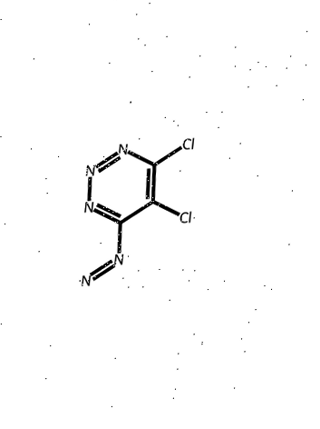 [N]=Nc1nnnc(Cl)c1Cl